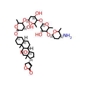 CC1O[C@@H](OC2C(C)O[C@@H](O[C@H]3CCC4(C)C5CCC6(C)[C@@H](C7=CC(=O)OC7)CC[C@]6(O)[C@@H]5CC[C@@H]4C3)C[C@H]2O)C[C@@H](O)C1O[C@H]1C[C@@H](O)C(O[C@H]2CC[C@@H](N)C(C)O2)C(C)O1